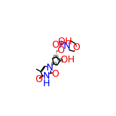 Cc1cn([C@@H]2C[C@H](COP(=O)(O)N3CCOCC3)[C@H](O)C2)c(=O)[nH]c1=O